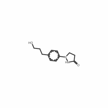 O=C1CCN(c2ccc(CCCO)cc2)N1